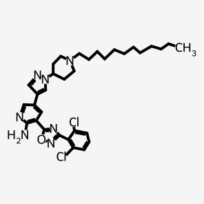 CCCCCCCCCCCCN1CCC(n2cc(-c3cnc(N)c(-c4nc(-c5c(Cl)cccc5Cl)no4)c3)cn2)CC1